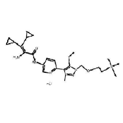 CCc1c(-c2ccc(NC(=O)C(N)=C(C3CC3)C3CC3)cn2)c(C)nn1COCC[Si](C)(C)C.Cl